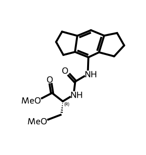 COC[C@@H](NC(=O)Nc1c2c(cc3c1CCC3)CCC2)C(=O)OC